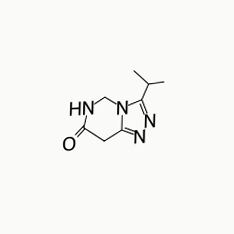 CC(C)c1nnc2n1CNC(=O)C2